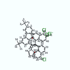 CC(C)(C)c1ccc2c(c1)-c1cc(C(C)(C)C)c[c]([Zr+2](=[C](c3cccc4c(Cl)cccc34)c3cccc4c(Cl)cccc34)[CH]3C=CC=C3)c1C2.[Cl-].[Cl-]